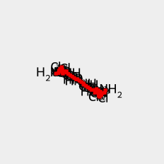 Cc1cc(O[C@H]2c3cc(Cl)cc(Cl)c3C[C@@H]2N2CCC[C@@H](N)C2)ccc1S(=O)(=O)NCCOCCOCCNC(=O)NCCCCNC(=O)NCCOCCOCCNS(=O)(=O)c1ccc(O[C@H]2c3cc(Cl)cc(Cl)c3C[C@@H]2N2CCC[C@@H](N)C2)cc1C